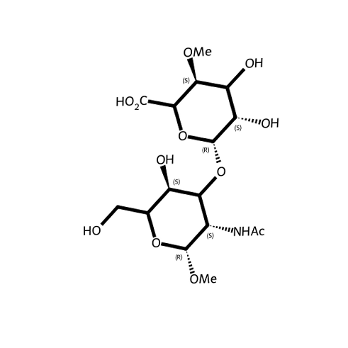 CO[C@@H]1C(C(=O)O)O[C@@H](OC2[C@H](O)C(CO)O[C@@H](OC)[C@H]2NC(C)=O)[C@@H](O)C1O